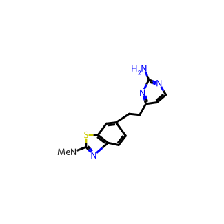 CNc1nc2ccc(CCc3ccnc(N)n3)cc2s1